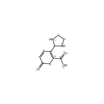 O=C1C=CC(C2NCCN2)=C(C(=O)O)C1